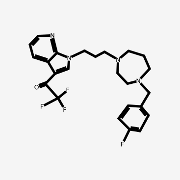 O=C(c1cn(CCCN2CCCN(Cc3ccc(F)cc3)CC2)c2ncccc12)C(F)(F)F